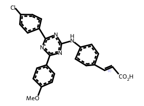 COc1ccc(-c2nc(Nc3ccc(/C=C/C(=O)O)cc3)nc(-c3ccc(Cl)cc3)n2)cc1